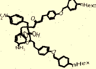 CCCCCCC1CCC(COc2ccc(C=CC(=O)CC(Cc3ccc(N)cc3)(Cc3ccc(N)cc3)C(O)(O)C(=O)C=Cc3ccc(OCC4CCC(CCCCCC)CC4)cc3)cc2)CC1